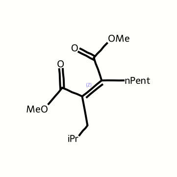 CCCCC/C(C(=O)OC)=C(\CC(C)C)C(=O)OC